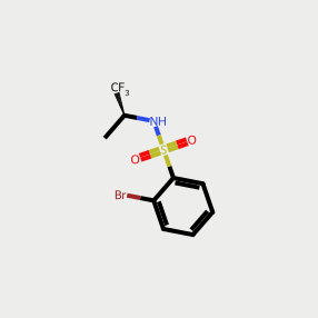 C[C@H](NS(=O)(=O)c1ccccc1Br)C(F)(F)F